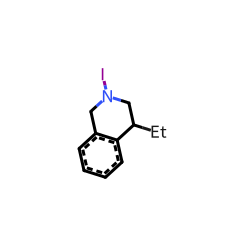 CCC1CN(I)Cc2ccccc21